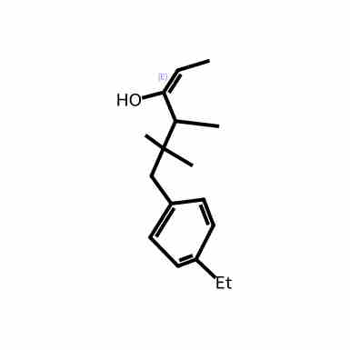 C/C=C(/O)C(C)C(C)(C)Cc1ccc(CC)cc1